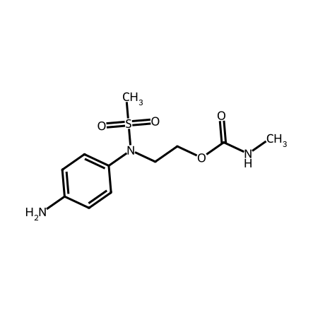 CNC(=O)OCCN(c1ccc(N)cc1)S(C)(=O)=O